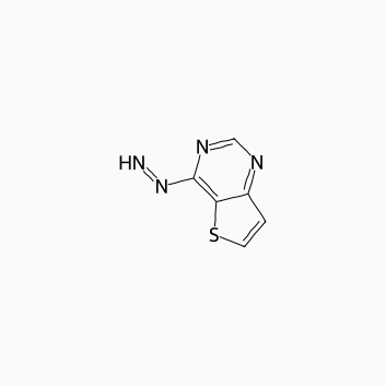 N=Nc1ncnc2ccsc12